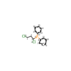 ClCCC(Cl)P(c1ccccc1)c1ccccc1